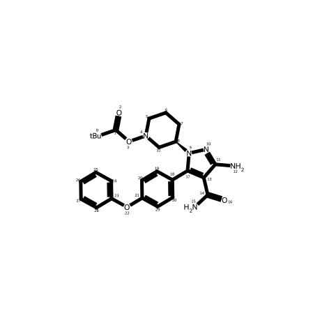 CC(C)(C)C(=O)ON1CCC[C@@H](n2nc(N)c(C(N)=O)c2-c2ccc(Oc3ccccc3)cc2)C1